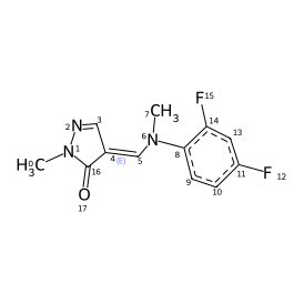 CN1N=C/C(=C\N(C)c2ccc(F)cc2F)C1=O